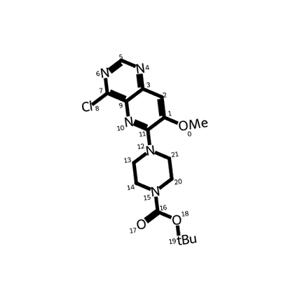 COc1cc2ncnc(Cl)c2nc1N1CCN(C(=O)OC(C)(C)C)CC1